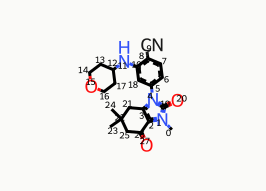 Cn1c2c(n(-c3ccc(C#N)c(NC4CCOCC4)c3)c1=O)CC(C)(C)CC2=O